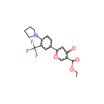 CCOC(=O)c1coc(-c2ccc(N3CCCC3)c(C(F)(F)F)c2)cc1=O